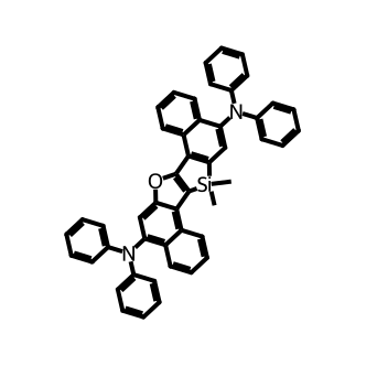 C[Si]1(C)c2cc(N(c3ccccc3)c3ccccc3)c3ccccc3c2-c2oc3cc(N(c4ccccc4)c4ccccc4)c4ccccc4c3c21